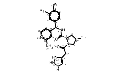 CC(C)c1ccc(C(NC(=O)[C@@H]2C[C@@H](F)CN2C(=O)CC2=CNNN2)c2ccnc(N)c2)cc1F